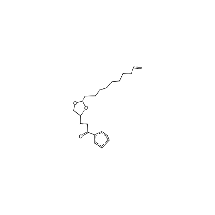 C=CCCCCCCCCC1OCC(CCC(=O)c2ccccc2)O1